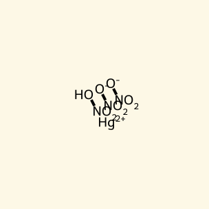 O=[N+]([O-])O.O=[N+]([O-])[O-].O=[N+]([O-])[O-].[Hg+2]